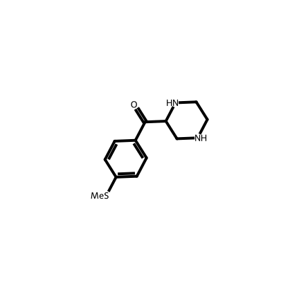 CSc1ccc(C(=O)C2CNCCN2)cc1